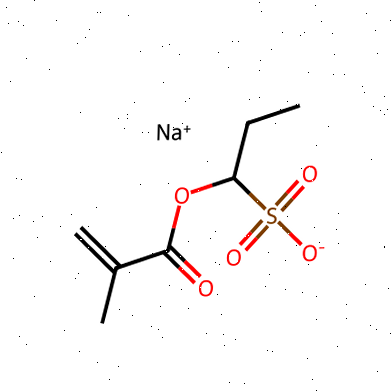 C=C(C)C(=O)OC(CC)S(=O)(=O)[O-].[Na+]